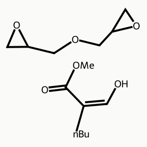 C(OCC1CO1)C1CO1.CCCCC(=CO)C(=O)OC